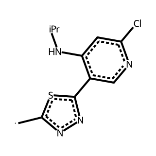 [CH2]c1nnc(-c2cnc(Cl)cc2NC(C)C)s1